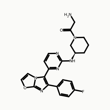 NCC(=O)N1CCC[C@@H](Nc2nccc(-c3c(-c4ccc(F)cc4)nc4occn34)n2)C1